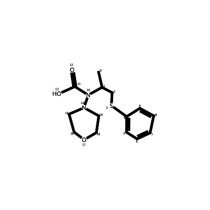 CC(CSc1ccccc1)N(C(=O)O)N1CCOCC1